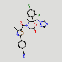 Cc1nc(-c2ccc(C#N)cc2)sc1C(=O)N1CC(=O)OC(Cn2cncn2)(c2ccc(F)cc2F)C1C